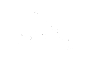 CCOCOC(CCCl)OCOCC